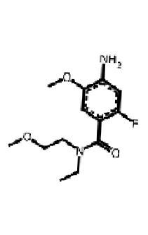 CCN(CCOC)C(=O)c1cc(OC)c(N)cc1F